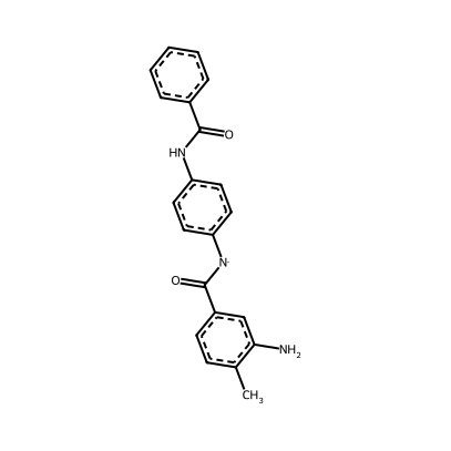 Cc1ccc(C(=O)[N]c2ccc(NC(=O)c3ccccc3)cc2)cc1N